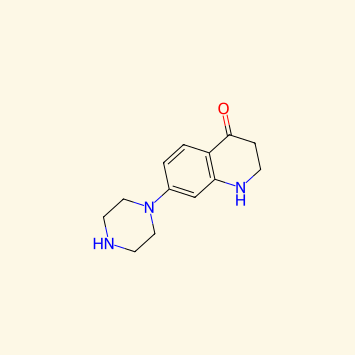 O=C1CCNc2cc(N3CCNCC3)ccc21